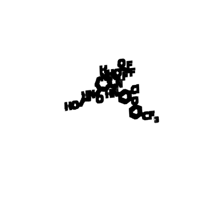 O=C(NCCCO)C1=Cc2c(ncnc2Nc2ccc(Oc3cccc(C(F)(F)F)c3)c(Cl)c2)NCC1.O=C(O)C(F)(F)F